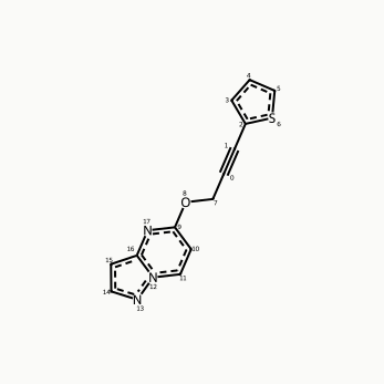 C(#Cc1cccs1)COc1ccn2nccc2n1